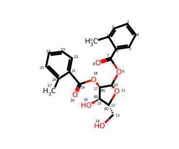 Cc1ccccc1C(=O)OC1O[C@H](CO)[C@@H](O)[C@H]1OC(=O)c1ccccc1C